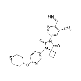 Cc1cc(N2C(=O)C3(CCC3)N(c3ccc(OC4CCSCC4)nc3)C2=S)cnc1C=N